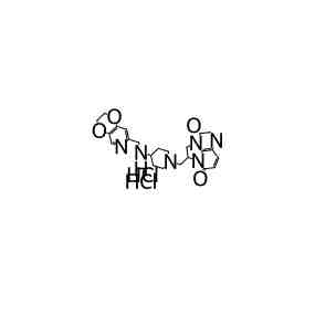 Cl.Cl.O=c1cnc2ccc(=O)n3c2n1CC3CN1CCC(NCc2cc3c(cn2)OCCO3)CC1